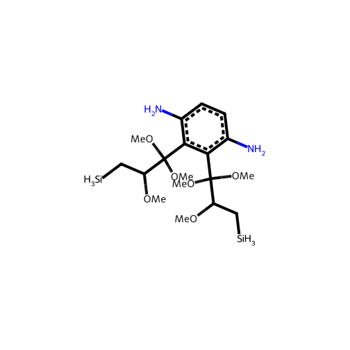 COC(C[SiH3])C(OC)(OC)c1c(N)ccc(N)c1C(OC)(OC)C(C[SiH3])OC